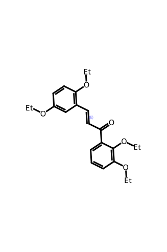 CCOc1ccc(OCC)c(/C=C/C(=O)c2cccc(OCC)c2OCC)c1